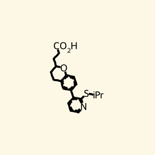 CC(C)Sc1ncccc1-c1ccc2c(c1)CCC(CCC(=O)O)O2